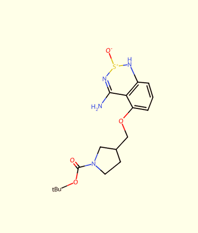 CC(C)(C)OC(=O)N1CCC(COc2cccc3c2C(N)=N[S+]([O-])N3)C1